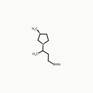 CC(=O)NCCC(C)N1CC[C@H](C)C1